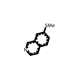 CSc1[c]c2cnccc2cc1